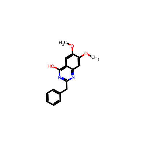 COc1cc2nc(Cc3ccccc3)nc(O)c2cc1OC